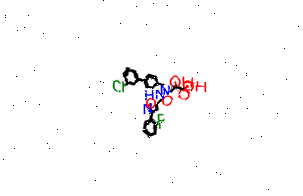 O=C(NN(Cc1ccc(-c2cccc(Cl)c2)cc1)C[C@@H](O)C(=O)O)c1cc(-c2ccccc2F)no1